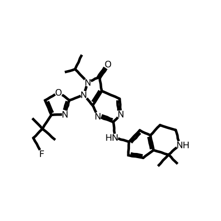 CC(C)n1c(=O)c2cnc(Nc3ccc4c(c3)CCNC4(C)C)nc2n1-c1nc(C(C)(C)CF)co1